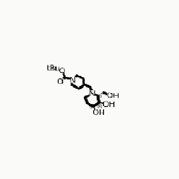 CC(C)(C)OC(=O)N1CCC(CN2CC[C@@H](O)[C@H](O)[C@H]2CO)CC1